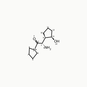 N[C@H](C(=O)N1CCCC1)[C@H]1CCC[C@H]1O